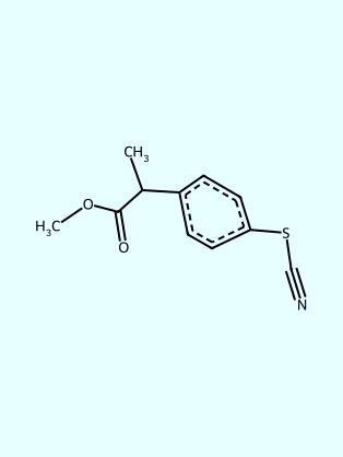 COC(=O)C(C)c1ccc(SC#N)cc1